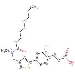 CCCCCCCCC(=O)N(C)Cc1csc(-c2ccc(C=CC(=O)O)c(F)c2)c1